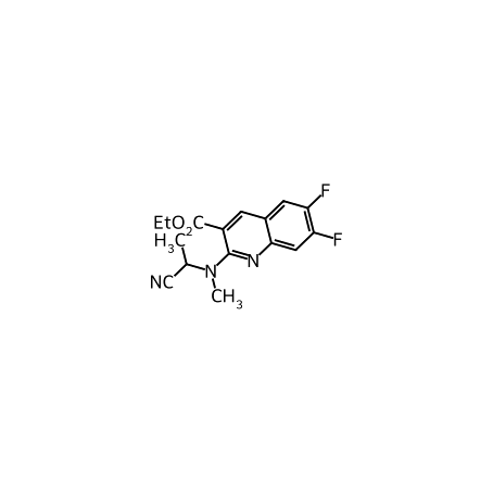 CCOC(=O)c1cc2cc(F)c(F)cc2nc1N(C)C(C)C#N